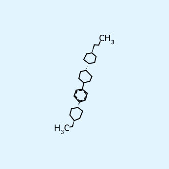 CCC[C@H]1CC[C@H](C2CCC(c3ccc([C@H]4CC[C@H](CC)CC4)cc3)CC2)CC1